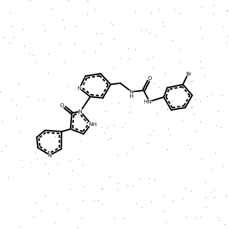 O=C(NCc1ccnc(-n2[nH]cc(-c3cccnc3)c2=O)c1)Nc1cccc(Br)c1